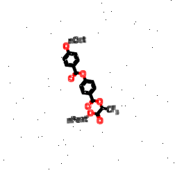 CCCCCCCCOc1ccc(C(=O)Oc2ccc(C(=O)OC(C(=O)OCCCCC)C(F)(F)F)cc2)cc1